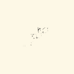 CC(=O)CC[C@@H]1[C@H]2C[C@H]2C2C3C(CC[C@@]21C)[C@@]1(C)CCC(=O)C=C1[C@@H]1C[C@H]31